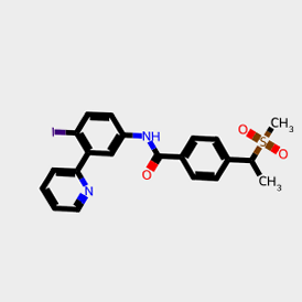 CC(c1ccc(C(=O)Nc2ccc(I)c(-c3ccccn3)c2)cc1)S(C)(=O)=O